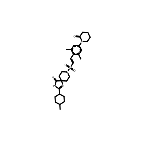 Cc1cc(N2CCCCC2=O)cc(C)c1/C=C/S(=O)(=O)N1CCC2(CC1)N=C(C1CCC(C)CC1)NC2=O